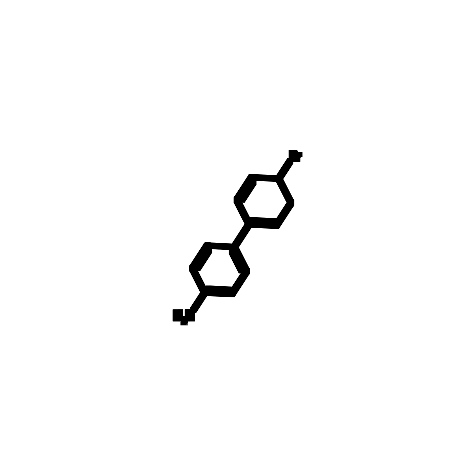 Nc1ccc(C2=CCC(Br)C=C2)cc1